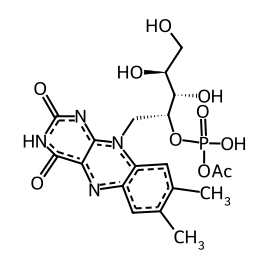 CC(=O)OP(=O)(O)O[C@H](Cn1c2nc(=O)[nH]c(=O)c-2nc2cc(C)c(C)cc21)[C@@H](O)[C@@H](O)CO